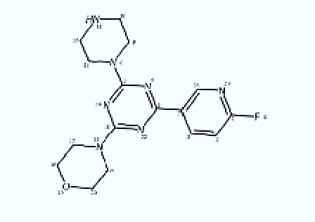 Fc1ccc(-c2nc(N3CCNCC3)nc(N3CCOCC3)n2)cn1